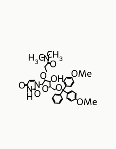 COc1ccc(C(OC[C@H]2O[C@@H](n3ccc(=O)[nH]c3=O)[C@H](OCCC(=O)N(C)C)[C@@H]2O)(c2ccccc2)c2ccc(OC)cc2)cc1